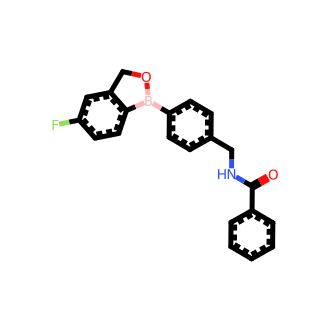 O=C(NCc1ccc(B2OCc3cc(F)ccc32)cc1)c1ccccc1